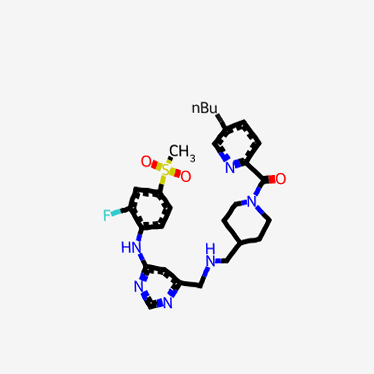 CCCCc1ccc(C(=O)N2CCC(CNCc3cc(Nc4ccc(S(C)(=O)=O)cc4F)ncn3)CC2)nc1